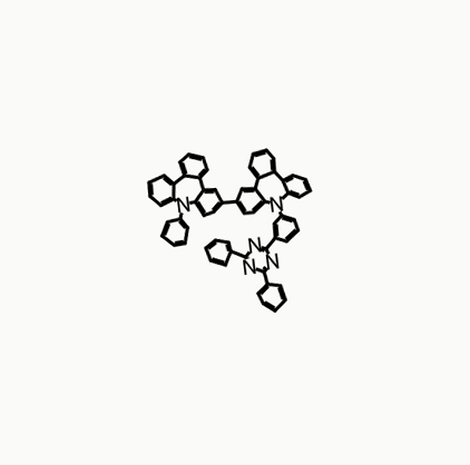 c1ccc(-c2nc(-c3ccccc3)nc(-c3cccc(N4c5ccccc5-c5ccccc5-c5cc(-c6ccc7c(c6)-c6ccccc6-c6ccccc6N7c6ccccc6)ccc54)c3)n2)cc1